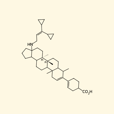 CC1C(C2=CCC(C(=O)O)CC2)=CCC2(C)C1CC[C@]1(C)C2CCC2C3CCCC3(NCC=C(C3CC3)C3CC3)CC[C@]21C